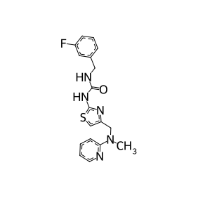 CN(Cc1csc(NC(=O)NCc2cccc(F)c2)n1)c1ccccn1